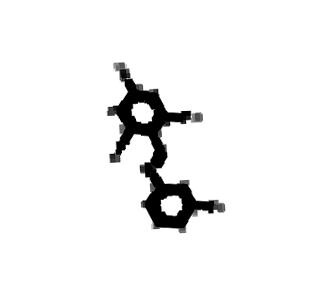 Fc1cccc(/N=C/c2c(F)cc(F)cc2F)c1